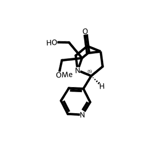 COCC1(CO)C(=O)C2CCN1[C@H](c1cccnc1)C2